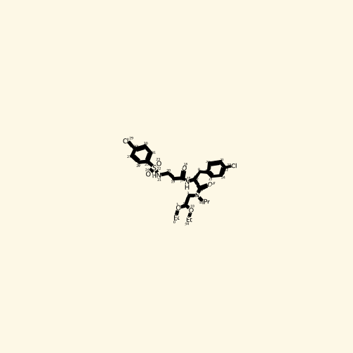 CCOC(CN(C(=O)C(Cc1ccc(Cl)cc1)NC(=O)CCNS(=O)(=O)c1ccc(Cl)cc1)C(C)C)OCC